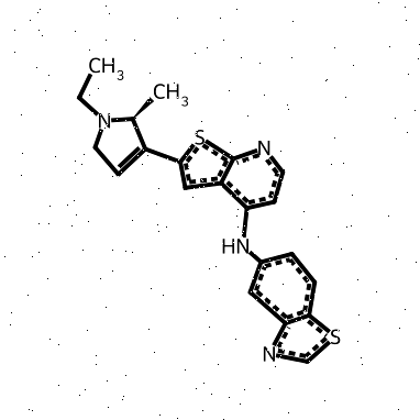 CCN1CC=C(c2cc3c(Nc4ccc5scnc5c4)ccnc3s2)[C@@H]1C